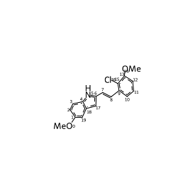 COc1ccc2[nH]c(C=Cc3cccc(OC)c3Cl)cc2c1